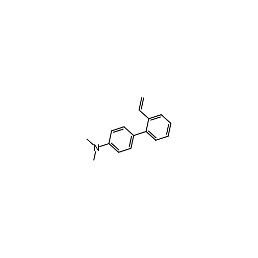 C=Cc1ccccc1-c1ccc(N(C)C)cc1